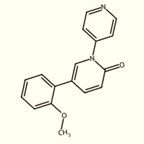 COc1ccccc1-c1ccc(=O)n(-c2ccncc2)c1